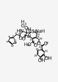 COC1(NC(=O)Cc2cccs2)C(=O)N2C(C(=O)O)=C(COC(=O)c3ccc(O)c(O)c3)CS[C@@H]21.[NaH]